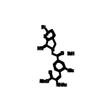 Br.CCc1ccc2c(n1)C(=N)N(CC(=O)c1ccc(C=C(NC(C)=O)C(=O)OC)c(C(C)(C)C)c1)C2